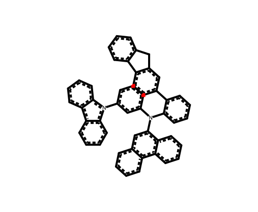 c1cc(N(c2ccccc2-c2ccc3c(c2)Cc2ccccc2-3)c2cc3ccccc3c3ccccc23)cc(-n2c3ccccc3c3ccccc32)c1